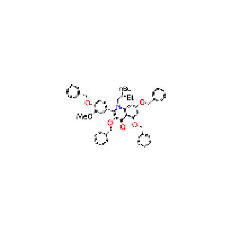 CCCCC(CC)Cn1c(-c2ccc(OCc3ccccc3)c(OC)c2)c(OCc2ccccc2)c(=O)c2c(OCc3ccccc3)cc(OCc3ccccc3)cc21